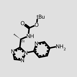 C[C@H](NC(=O)OC(C)(C)C)c1ncnn1-c1ccc(N)cn1